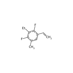 C=Cc1cc(C)c(F)c(CC)c1F